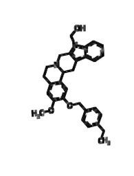 CCc1ccc(COc2cc3c(cc2OC)CCN2Cc4c(c5ccccc5n4CO)CC32)cc1